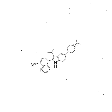 CC(C)c1c(-c2ccc(C#N)c3ncccc23)[nH]c2ccc(C3CCN(C(C)C)CC3)cc12